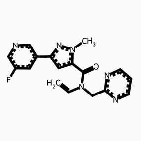 C=CN(Cc1ncccn1)C(=O)c1cc(-c2cncc(F)c2)nn1C